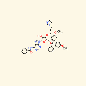 COc1ccc(C(OC[C@H]2O[C@@H](n3cnc4c(NC(=O)c5ccccc5)ncnc43)[C@H](O)[C@@H]2OCCCCn2ccnc2)(c2ccccc2)c2ccc(OC)cc2)cc1